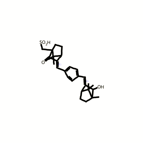 CC1(C)C2CCC1(CS(=O)(=O)O)C(=O)/C2=C/c1ccc(/C=C2\C3CCC(C)(C2O)C3(C)C)cc1